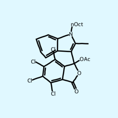 CCCCCCCCn1c(C)c(C2(OC(C)=O)OC(=O)c3c(Cl)c(Cl)c(Cl)c(Cl)c32)c2ccccc21